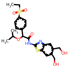 CCS(=O)(=O)c1ccc(C(OC(C)C)C(=O)Nc2nc3cc(CO)c(CO)cc3s2)cc1